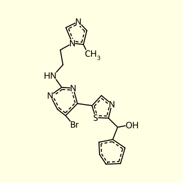 Cc1cncn1CCNc1ncc(Br)c(-c2cnc(C(O)c3ccccc3)s2)n1